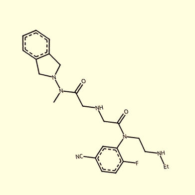 CCNCCN(C(=O)CNCC(=O)N(C)N1Cc2ccccc2C1)c1cc(C#N)ccc1F